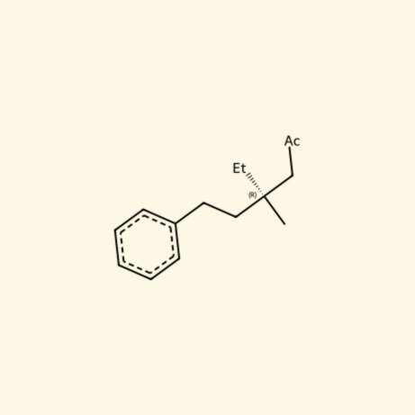 CC[C@](C)(CCc1ccccc1)CC(C)=O